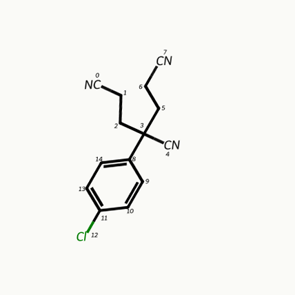 N#CCCC(C#N)(CCC#N)c1ccc(Cl)cc1